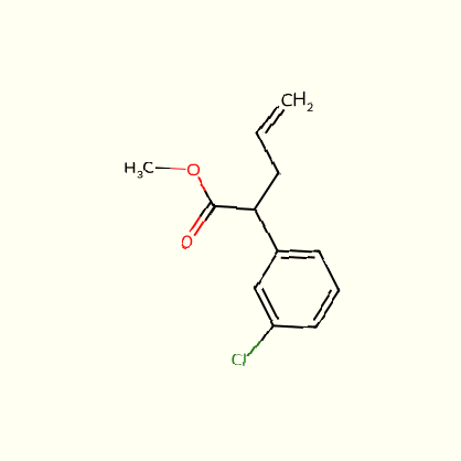 C=CCC(C(=O)OC)c1cccc(Cl)c1